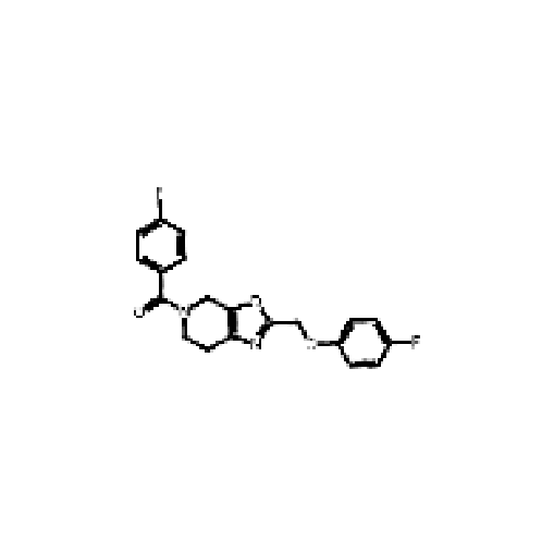 O=C(c1ccc(F)cc1)N1CCc2nc(COc3ccc(F)cc3)oc2C1